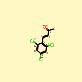 CC(=O)/C=C/c1c(Cl)cc(Cl)cc1Cl